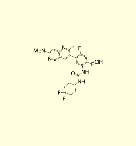 CNc1cc2nc(C)c(-c3cc(NC(=O)NC4CCC(F)(F)CC4)c(F)cc3F)cc2cn1.Cl